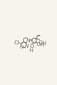 C=C[C@@]1(CO)C[C@@H](N2CCc3c(Cl)ncnc32)[C@H](O)[C@@H]1O